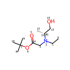 CCN(CC(=O)OC(C)(C)C)[C@H](C)CO